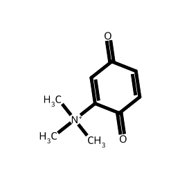 C[N+](C)(C)C1=CC(=O)C=CC1=O